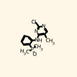 Cc1cnc(Cl)nc1Nc1ccccc1P(C)(C)=O